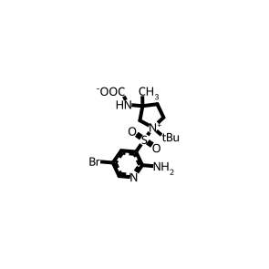 CC1(NC(=O)[O-])CC[N+](C(C)(C)C)(S(=O)(=O)c2cc(Br)cnc2N)C1